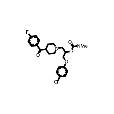 CNC(=O)OC(COc1ccc(Cl)cc1)CN1CCC(C(=O)c2ccc(F)cc2)CC1